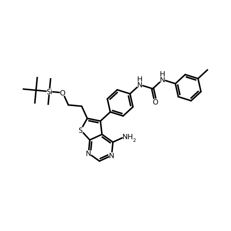 Cc1cccc(NC(=O)Nc2ccc(-c3c(CCO[Si](C)(C)C(C)(C)C)sc4ncnc(N)c34)cc2)c1